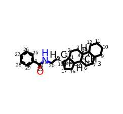 C[C@]12CC[C@H]3[C@@H](CCC4CCCC[C@@]43C)[C@@H]1CC[C@@H]2CCNC(=O)c1ccccc1